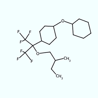 CCC(C)COC(C1CCC(OC2CCCCC2)CC1)(C(F)(F)F)C(F)(F)F